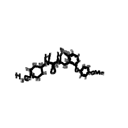 COc1ccc(Oc2cccc(F)c2CNC(=O)NC2CCN(C)CC2)cc1